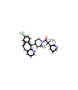 CC(C)(C(=O)N1CCC(C2=c3ccc(Cl)cc3=CCc3cccnc32)CC1)c1cccnc1